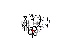 [2H]C(Nc1cc(Cl)c2ncc(C#N)c(NCC(C)(C)COC)c2c1)(c1ccc(F)cc1)c1cn(C2CC2)nn1